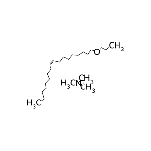 CCCCCCCC/C=C\CCCCCCCCOCCC.CN(C)C